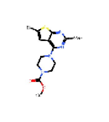 CCc1cc2c(N3CCN(C(=O)OC(C)(C)C)CC3)nc(SC)nc2s1